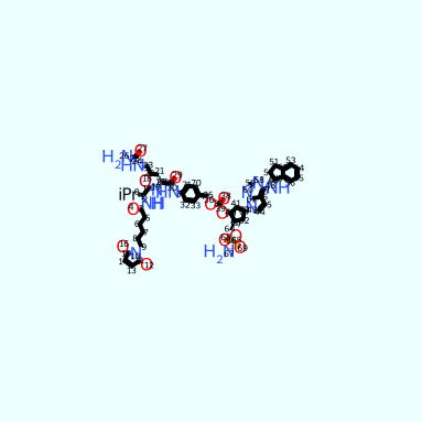 CC(C)C(NC(=O)CCCCCN1C(=O)C=CC1=O)C(=O)N[C@H](CCCNC(N)=O)C(=O)Nc1ccc(COC(=O)O[C@H]2C[C@H](n3ccc4c(N[C@H]5CCc6ccccc65)ncnc43)C[C@H]2COS(N)(=O)=O)cc1